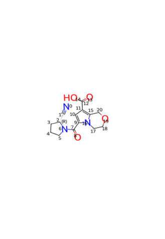 N#C[C@H]1CCCN1C(=O)c1cc(C(=O)O)c2n1CCOC2